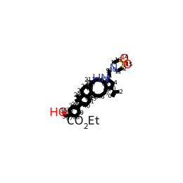 C=C(C)[C@@H]1CC[C@]2(NCCN3CCS(=O)(=O)CC3)CC[C@@H](C)[C@]3(C)CCC4C(C)(C)C(C5=CCC(CO)(C(=O)OCC)CC5)=CC[C@]4(C)C3CCCC12